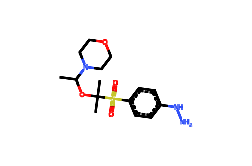 CC(OC(C)(C)S(=O)(=O)c1ccc(NN)cc1)N1CCOCC1